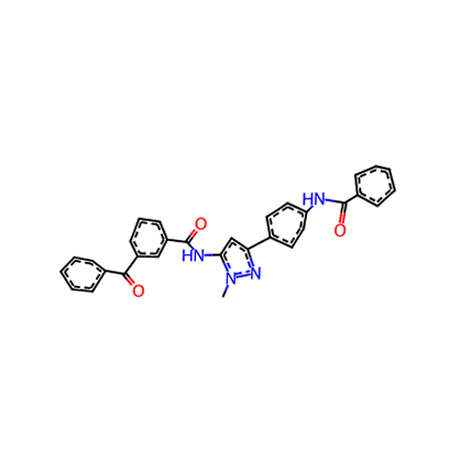 Cn1nc(-c2ccc(NC(=O)c3ccccc3)cc2)cc1NC(=O)c1cccc(C(=O)c2ccccc2)c1